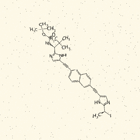 C[C@H](I)c1ncc(C#Cc2ccc3cc(C#Cc4cnc([C@@H](NC(=O)OC(C)(C)C)C(C)(C)C)[nH]4)ccc3c2)[nH]1